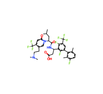 Cc1ccc(F)c(C)c1-c1cc(C(F)(F)F)c(F)c(C(CC(=O)O)NC(=O)C(CC(C)C)n2cc(CCN(C)C)c(C(F)(F)F)cc2=O)c1F